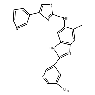 Cc1cc2nc(-c3cncc(C(F)(F)F)c3)[nH]c2cc1Nc1nc(-c2cccnc2)cs1